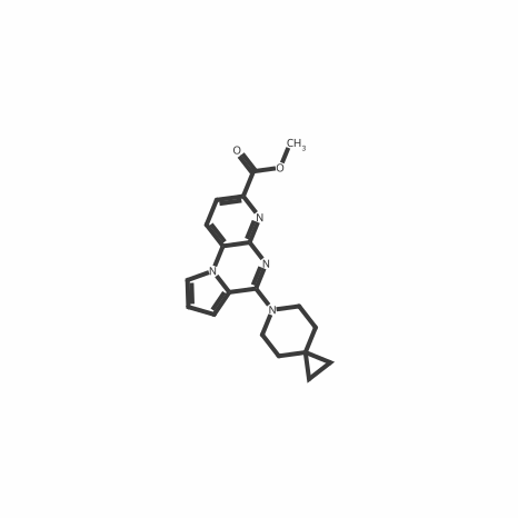 COC(=O)c1ccc2c(n1)nc(N1CCC3(CC1)CC3)c1cccn12